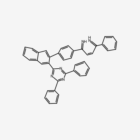 N=C(/C=C\C(=N)c1ccc(-c2cc3ccccc3cc2-c2nc(-c3ccccc3)nc(-c3ccccc3)n2)cc1)c1ccccc1